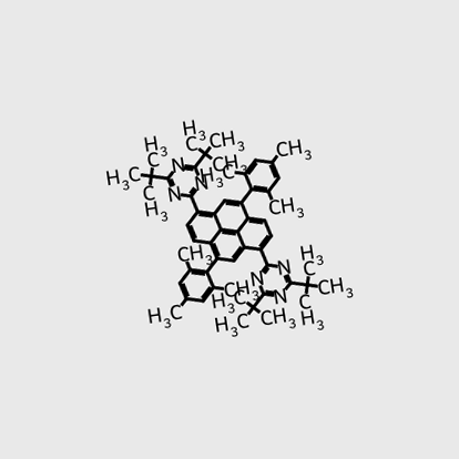 Cc1cc(C)c(-c2cc3c(-c4nc(C(C)(C)C)nc(C(C)(C)C)n4)ccc4c(-c5c(C)cc(C)cc5C)cc5c(-c6nc(C(C)(C)C)nc(C(C)(C)C)n6)ccc2c5c34)c(C)c1